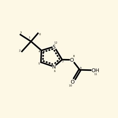 CC(C)(C)c1cnc(OC(=O)O)s1